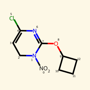 O=[N+]([O-])N1CC=C(Cl)N=C1OC1CCC1